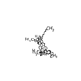 C=CCCCCCN(C)C(=O)C[C@@H](CCOc1cc(-n2ccc(C)n2)nc2cc(OC)ccc12)C(=O)N[C@]1(C(=O)OCC)C[C@H]1C=C